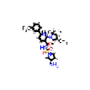 C[C@@H]1CN(c2nc(-c3cccc(C(F)(F)F)c3)ccc2C(=O)NS(=O)(=O)N2CC[C@H](N)C2)C(C)(C)C1